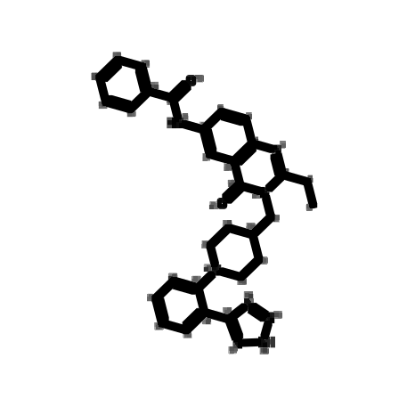 CCc1nc2ccc(NC(=O)c3ccccc3)cc2c(=O)n1CC1CCN(c2ccccc2-c2nn[nH]n2)CC1